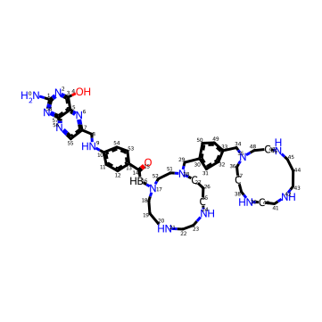 Nc1nc(O)c2nc(CNc3ccc(C(=O)BN4CCCNCCNCCCN(Cc5ccc(CN6CCCNCCNCCCNCC6)cc5)CC4)cc3)cnc2n1